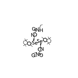 CCCCNC(=O)c1ccc(C#C[Se]c2cc3c(cc2C)C(C)(C)CCC3(C)C)nc1.Cc1cc2c(cc1[Se]C#Cc1ccc(C(=O)N3CCOCC3)cn1)C(C)(C)CCC2(C)C